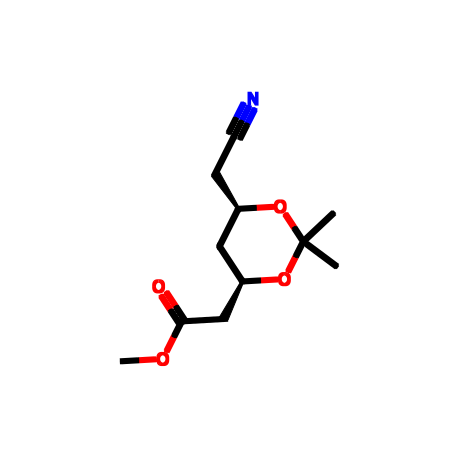 COC(=O)C[C@H]1C[C@@H](CC#N)OC(C)(C)O1